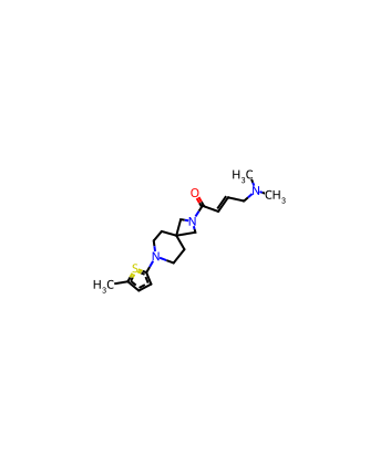 Cc1ccc(N2CCC3(CC2)CN(C(=O)/C=C/CN(C)C)C3)s1